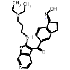 CCN(CC)CCCNc1sc2cnccc2c1C(=O)c1ccc2c(c1)CC/C2=N\O